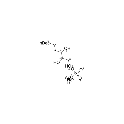 CC(=O)OS(=O)(=O)[O-].CCCCCCCCCCCCC(O)C(O)CO.[Na+]